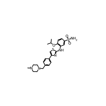 CC(C)Oc1ccc(S(N)(=O)=O)cc1Nc1nc(-c2ccc(CN3CCN(C)CC3)cc2)cs1